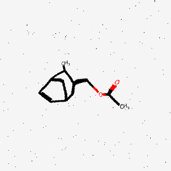 CC(=O)OCC1C2C=CC(C2)C1C